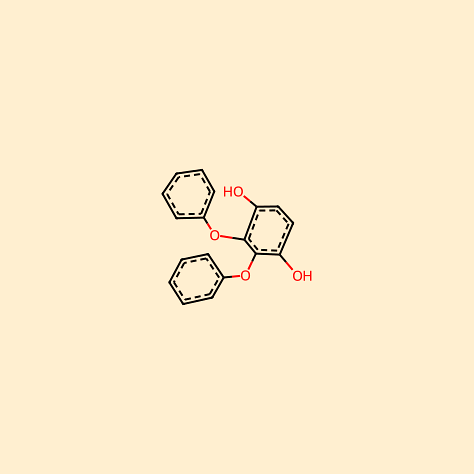 Oc1ccc(O)c(Oc2ccccc2)c1Oc1ccccc1